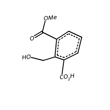 COC(=O)c1cccc(C(=O)O)c1CO